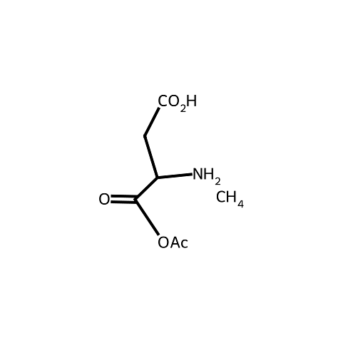 C.CC(=O)OC(=O)C(N)CC(=O)O